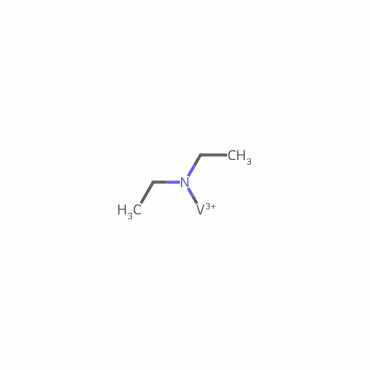 CC[N]([V+3])CC